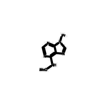 CONc1ncnc2c1ncn2C(C)C